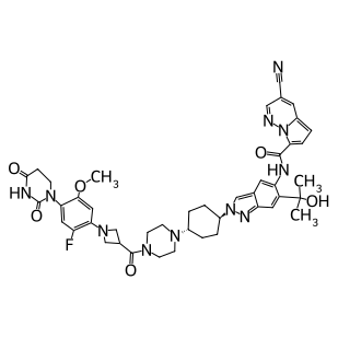 COc1cc(N2CC(C(=O)N3CCN([C@H]4CC[C@H](n5cc6cc(NC(=O)c7ccc8cc(C#N)cnn78)c(C(C)(C)O)cc6n5)CC4)CC3)C2)c(F)cc1N1CCC(=O)NC1=O